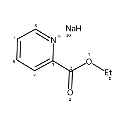 CCOC(=O)c1ccccn1.[NaH]